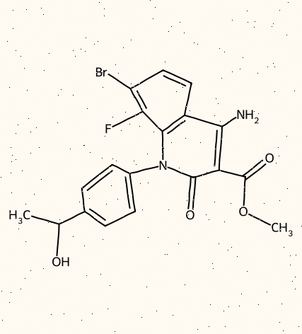 COC(=O)c1c(N)c2ccc(Br)c(F)c2n(-c2ccc(C(C)O)cc2)c1=O